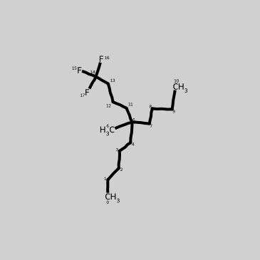 CCCCCC(C)(CCCC)CCCC(F)(F)F